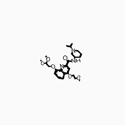 COCCOc1cc(C(=O)N[C@@H]2CCCN(C(C)C)C2)nc2c(OCC(OC)OC)cccc12